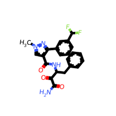 Cn1cc(C(=O)NC(Cc2ccccc2)C(=O)C(N)=O)c(-c2cccc(C(F)F)c2)n1